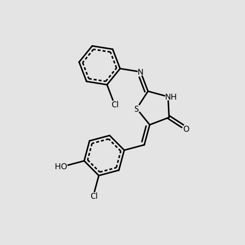 O=C1NC(=Nc2ccccc2Cl)SC1=Cc1ccc(O)c(Cl)c1